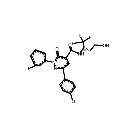 O=C(N[C@@H](CCO)C(F)(F)F)c1cc(-c2ccc(Cl)cc2)nn(-c2cccc(F)c2)c1=O